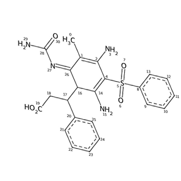 CC1=C(N)C(S(=O)(=O)c2ccccc2)=C(N)C(C(CC(=O)O)c2ccccc2)C1=NC(N)=O